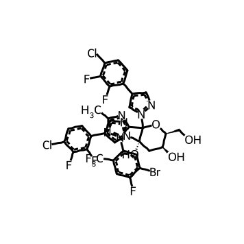 Cc1nc(C2(n3cc(-c4ccc(Cl)c(F)c4F)cn3)O[C@@H](CO)[C@@H](O)C[C@@]2(O)n2cc(-c3ccc(Cl)c(F)c3F)cn2)n(-c2cc(Br)c(F)cc2C(F)(F)F)n1